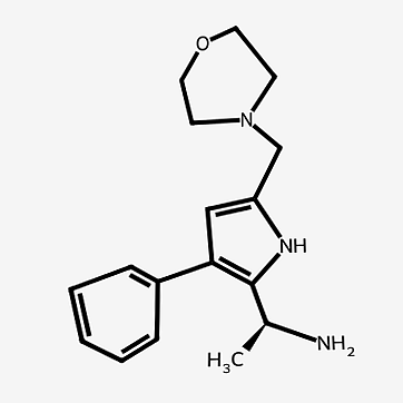 C[C@H](N)c1[nH]c(CN2CCOCC2)cc1-c1ccccc1